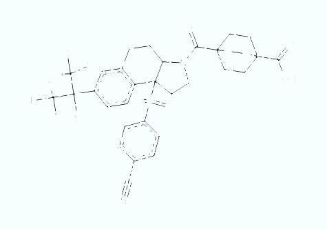 N#Cc1ccc(S(=O)(=O)C23CCN(C(=O)C45CCC(C(=O)O)(CC4)CC5)C2CCc2cc(C(F)(C(F)(F)F)C(F)(F)F)ccc23)cc1